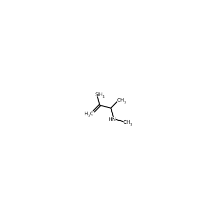 C=C([SiH3])C(C)NC